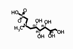 CN(C[C@H](O)[C@@H](O)[C@H](O)[C@H](O)CO)CS(=O)(=O)O